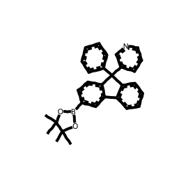 CC1(C)OB(c2ccc3c(c2)-c2ccccc2C3(c2ccccc2)c2cccnc2)OC1(C)C